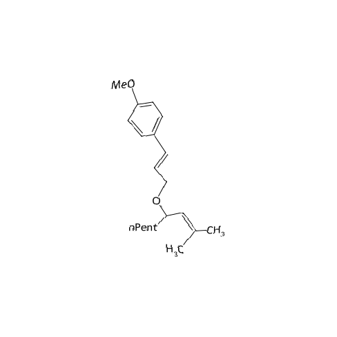 CCCCCC(C=C(C)C)OCC=Cc1ccc(OC)cc1